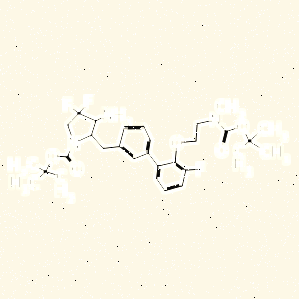 CN(CCOc1c(F)cccc1-c1cccc(CC2C(N)C(F)(F)CN2C(=O)OC(C)(C)C)c1)C(=O)OC(C)(C)C